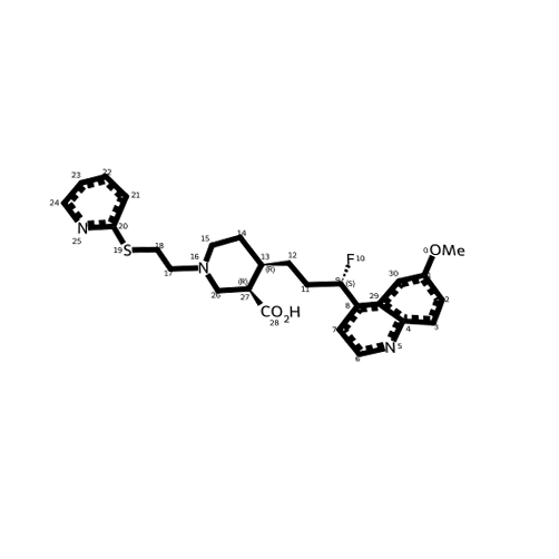 COc1ccc2nccc([C@@H](F)CC[C@@H]3CCN(CCSc4ccccn4)C[C@@H]3C(=O)O)c2c1